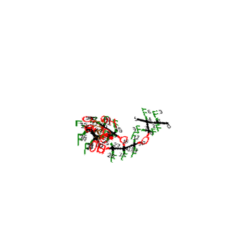 CC(F)(F)C(C)(F)C(F)(F)OC(F)(F)C(F)(OC(F)(F)C(F)(F)S(=O)(=O)O)C(F)(F)OC(F)(F)C(F)(F)S(=O)(=O)O